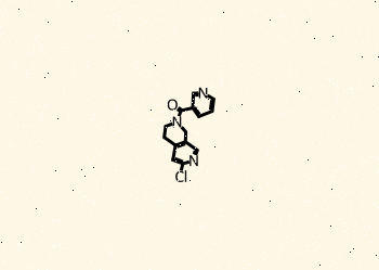 O=C(c1cccnc1)N1CCc2cc(Cl)ncc2C1